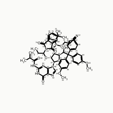 CCC(O[C@@H]1[C@H](OP(OCCC#N)N(C(C)C)C(C)C)[C@@H](C(O)C(c2ccccc2)(c2ccc(OC)cc2)c2ccc(OC)cc2)O[C@H]1n1cnc2c(=O)[nH]c(NC(=O)C(C)C)nc21)N1C(=O)c2ccccc2C1=O